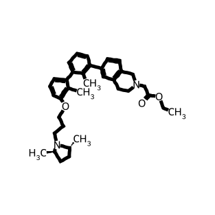 CCOC(=O)CN1CCc2cc(-c3cccc(-c4cccc(OCCCN5[C@H](C)CC[C@H]5C)c4C)c3C)ccc2C1